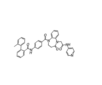 Cc1ccccc1-c1ccccc1C(=O)Nc1ccc(C(=O)N2CCC(=O)N(CC(=O)Nc3ccncc3)c3ccccc32)cc1